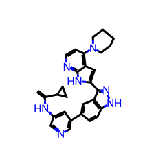 C=C(Nc1cncc(-c2ccc3[nH]nc(-c4cc5c(N6CCCCC6)ccnc5[nH]4)c3c2)c1)C1CC1